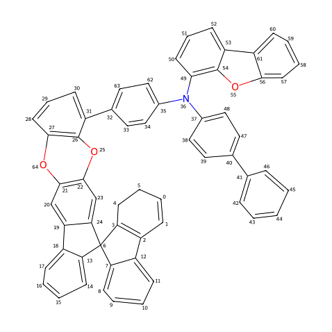 C1=CC2=C(CC1)C1(c3ccccc32)c2ccccc2-c2cc3c(cc21)Oc1c(cccc1-c1ccc(N(c2ccc(-c4ccccc4)cc2)c2cccc4c2oc2ccccc24)cc1)O3